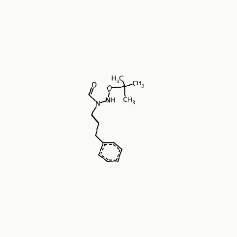 CC(C)(C)ONN(C=O)CCCc1ccccc1